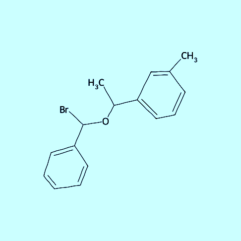 Cc1cccc(C(C)OC(Br)c2ccccc2)c1